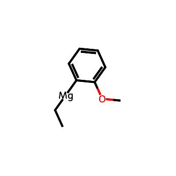 C[CH2][Mg][c]1ccccc1OC